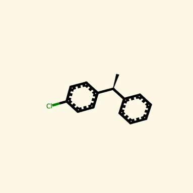 C[C@@H](c1ccccc1)c1ccc(Cl)cc1